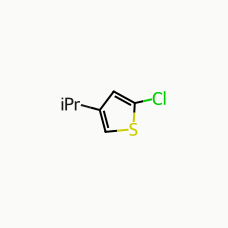 CC(C)c1csc(Cl)c1